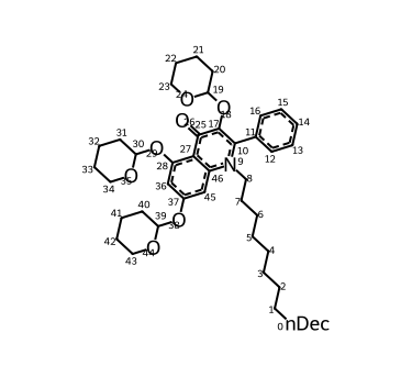 CCCCCCCCCCCCCCCCCCn1c(-c2ccccc2)c(OC2CCCCO2)c(=O)c2c(OC3CCCCO3)cc(OC3CCCCO3)cc21